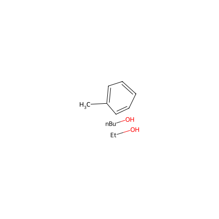 CCCCO.CCO.Cc1ccccc1